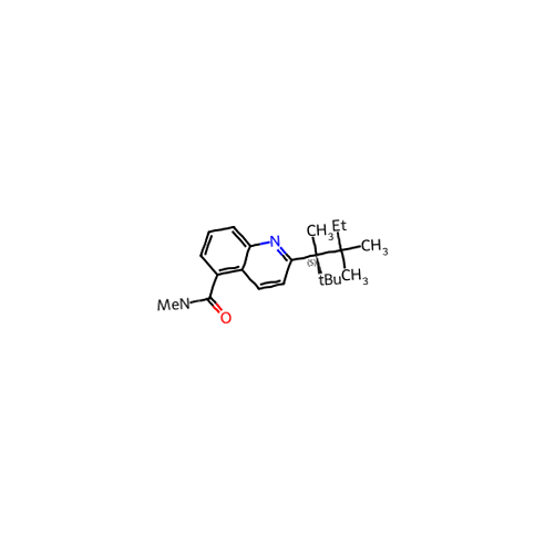 CCC(C)(C)[C@@](C)(c1ccc2c(C(=O)NC)cccc2n1)C(C)(C)C